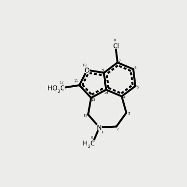 CN1CCc2ccc(Cl)c3oc(C(=O)O)c(c23)C1